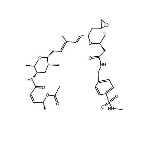 CNS(=O)(=O)c1ccc(CNC(=O)C[C@@H]2C[C@@]3(CO3)C[C@@H](/C=C/C(C)=C/C[C@@H]3O[C@H](C)[C@H](NC(=O)/C=C\[C@H](C)OC(C)=O)C[C@@H]3C)O2)cc1